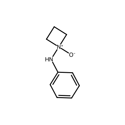 [O-][N+]1(Nc2ccccc2)CCC1